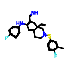 C=CC12CC(C=N)=C(Nc3ccc(F)cc3)C=C1CCN(Sc1ccc(F)c(C)c1)C2